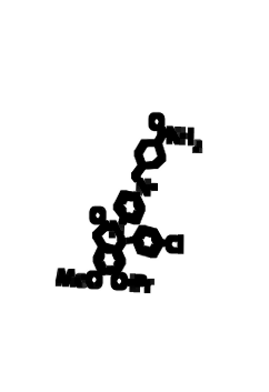 COc1cc2c(cc1OC(C)C)[C@H](c1ccc(Cl)cc1)N(c1ccc(N(C)CC3CCC(C(N)=O)CC3)cc1)C(=O)C2